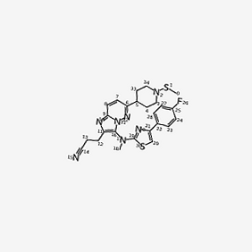 CSN1CCC(c2ccc3nc(CCC#N)c(N(C)c4nc(-c5ccc(F)cc5)cs4)n3n2)CC1